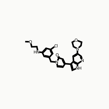 COCCNc1cc(Cl)cc(Cn2ccc(-c3c[nH]c4ncc(N5CCOCC5)cc34)cc2=O)c1